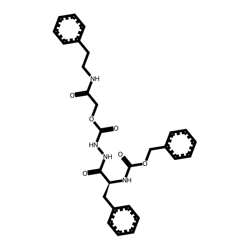 O=C(COC(=O)NNC(=O)[C@H](Cc1ccccc1)NC(=O)OCc1ccccc1)NCCc1ccccc1